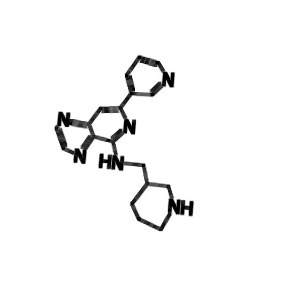 c1cncc(-c2cc3nccnc3c(NCC3CCCNC3)n2)c1